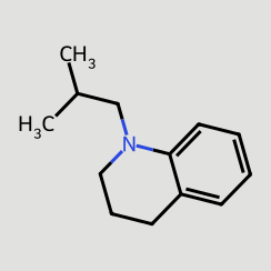 CC(C)CN1CCCc2ccccc21